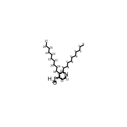 CCCCCCCCCCc1nccc([PH2]=O)c1CCCCCCCCCC